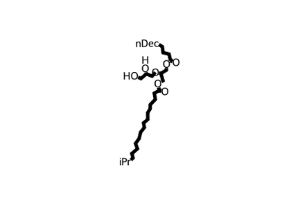 CCCCCCCCCCCCCC(=O)OCC(COC(=O)CCCCCCCCCCCCCCC(C)C)OCC(O)CO